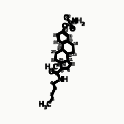 CCCCCNC(=O)C1=CCC2C3CCc4cc(OS(N)(=O)=O)ccc4C3CC[C@]12C